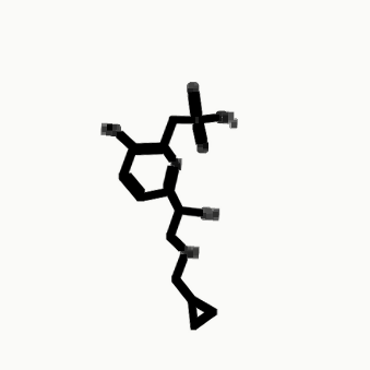 CS(=O)(=O)Cc1nc(C(O)CNCC2CC2)ccc1O